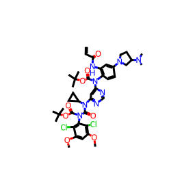 C=CC(=O)Nc1cc(N2CCC(N(C)C)C2)ccc1N(C(=O)OC(C)(C)C)c1cc(N(C(=O)N(C(=O)OC(C)(C)C)c2c(Cl)c(OC)cc(OC)c2Cl)C2CC2)ncn1